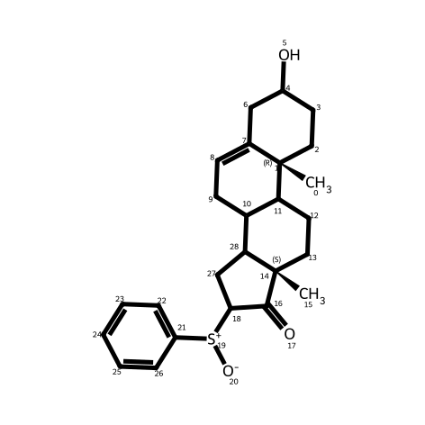 C[C@]12CCC(O)CC1=CCC1C2CC[C@]2(C)C(=O)C([S+]([O-])c3ccccc3)CC12